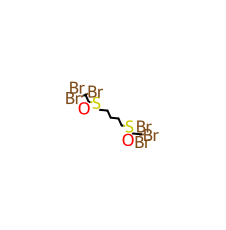 O=C(SCCCCCSC(=O)C(Br)(Br)Br)C(Br)(Br)Br